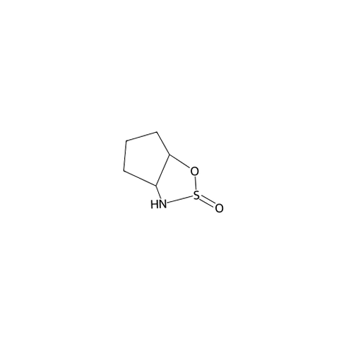 O=S1NC2CCCC2O1